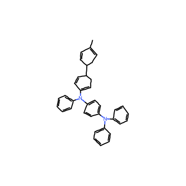 CC1=CCC(C2C=CC(N(c3ccccc3)c3ccc(N(c4ccccc4)c4ccccc4)cc3)=CC2)C=C1